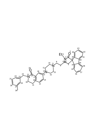 CCNC(=O)C1(CCCCN2CCN(c3ccc4c(c3)C(=O)N(Cc3cccc(C)c3)CC4)CC2)c2ccccc2-c2ccccc21